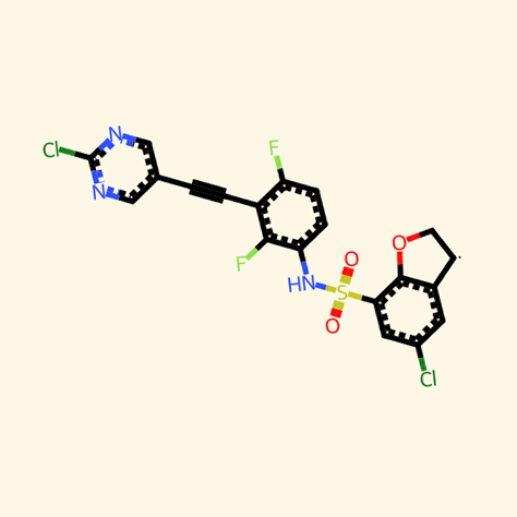 O=S(=O)(Nc1ccc(F)c(C#Cc2cnc(Cl)nc2)c1F)c1cc(Cl)cc2c1OC[CH]2